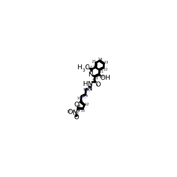 Cc1nc(C(=O)N/N=C/C=C/c2ccc([N+](=O)[O-])o2)c(O)c2ccccc12